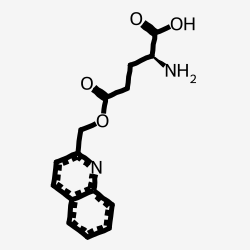 N[C@@H](CCC(=O)OCc1ccc2ccccc2n1)C(=O)O